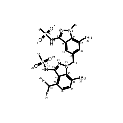 Cn1nc(NS(C)(=O)=O)c2cc(Cn3nc(NS(C)(=O)=O)c4c(C(F)F)ccc(C(C)(C)C)c43)cc(C(C)(C)C)c21